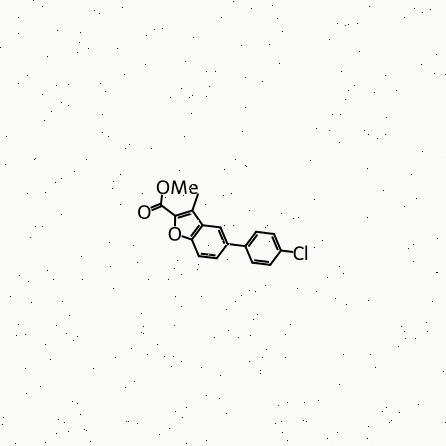 COC(=O)c1oc2ccc(-c3ccc(Cl)cc3)cc2c1C